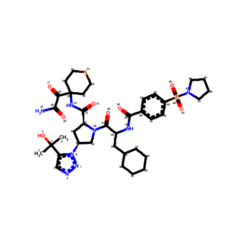 CC(C)(O)c1cnnn1[C@H]1C[C@@H](C(=O)NC2(C(=O)C(N)=O)CCSCC2)N(C(=O)C(CC2CCCCC2)NC(=O)c2ccc(S(=O)(=O)N3CCCC3)cc2)C1